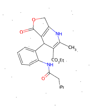 CCOC(=O)C1=C(C)NC2=C(C(=O)OC2)C1c1ccccc1NC(=O)CC(C)C